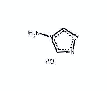 Cl.Nn1cnnc1